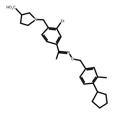 CCc1cc(C(C)=NOCc2ccc(C3CCCC3)c(C)c2)ccc1CN1CCC(C(=O)O)C1